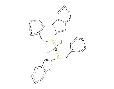 [Cl][Zr]([Cl])(=[S](Cc1ccccc1)C1=Cc2ccccc2C1)=[S](Cc1ccccc1)C1=Cc2ccccc2C1